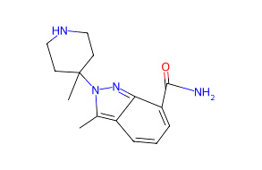 Cc1c2cccc(C(N)=O)c2nn1C1(C)CCNCC1